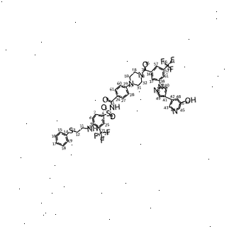 O=C(NS(=O)(=O)c1ccc(NCCSc2ccccc2)c(C(F)(F)F)c1)c1ccc(N2CCN(C(=O)c3cc(-n4cc(-c5cncc(O)c5)cn4)cc(C(F)(F)F)c3)CC2)cc1